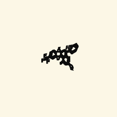 COc1cc(C)c2c(Oc3cccc(C(F)(F)F)c3)c(OC)cc(N3C=CC=CN3)c2n1